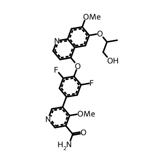 COc1cc2nccc(Oc3c(F)cc(-c4cncc(C(N)=O)c4OC)cc3F)c2cc1OC(C)CO